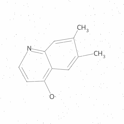 Cc1cc2nccc([O])c2cc1C